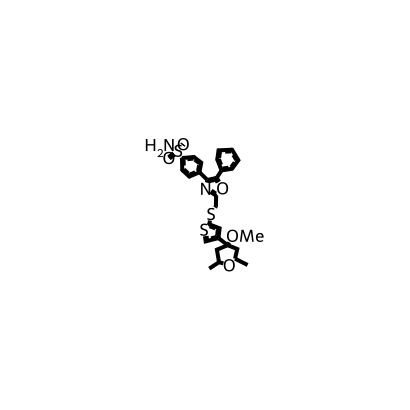 COC1(c2csc(SCc3nc(-c4ccc(S(N)(=O)=O)cc4)c(-c4ccccc4)o3)c2)CC(C)OC(C)C1